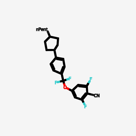 CCCCCC1CCC(c2ccc(C(F)(F)Oc3cc(F)c(C#N)c(F)c3)cc2)CC1